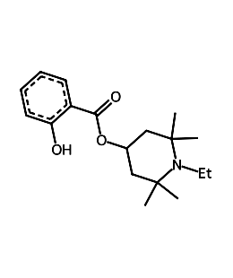 CCN1C(C)(C)CC(OC(=O)c2ccccc2O)CC1(C)C